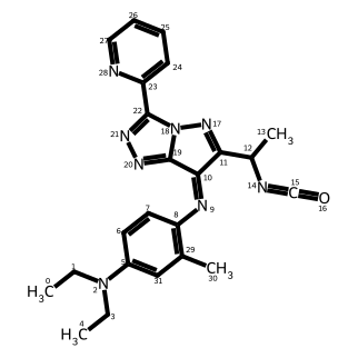 CCN(CC)c1ccc(/N=C2/C(C(C)N=C=O)=Nn3c2nnc3-c2ccccn2)c(C)c1